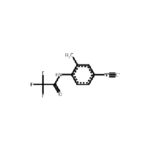 [C-]#[N+]c1ccc(NC(=O)C(F)(F)F)c(C)c1